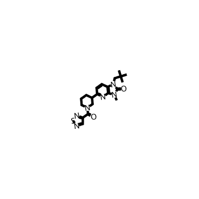 Cn1c(=O)n(CC(C)(C)C)c2ccc(C3CCCN(C(=O)c4cnsn4)C3)nc21